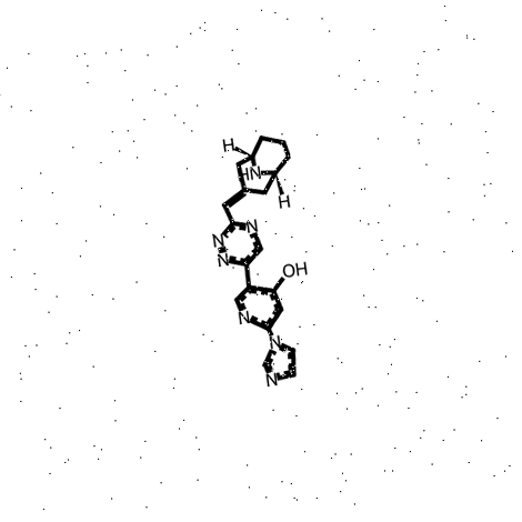 Oc1cc(-n2ccnc2)ncc1-c1cnc(/C=C2\C[C@H]3CCC[C@@H](C2)N3)nn1